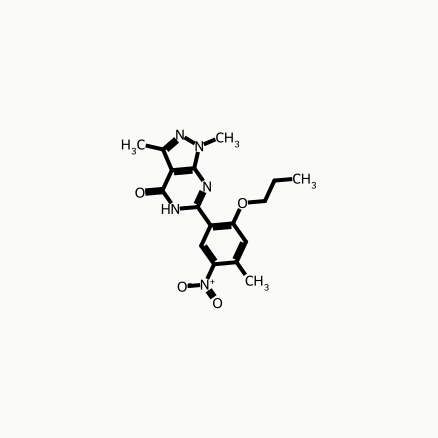 CCCOc1cc(C)c([N+](=O)[O-])cc1-c1nc2c(c(C)nn2C)c(=O)[nH]1